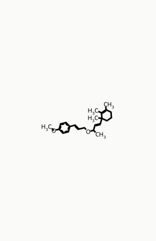 COc1ccc(/C=C/COC(C)/C=C/C2(C)CCCC(C)=C2C)cc1